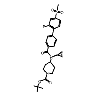 CC(C)(C)OC(=O)N1CCC(N(C(=O)c2ccc(-c3ccc(S(C)(=O)=O)cc3F)cc2)C2CC2)CC1